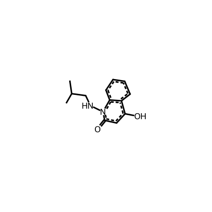 CC(C)CNn1c(=O)cc(O)c2ccccc21